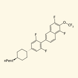 CCCCC[C@H]1CC[C@H](c2cc(F)c(-c3ccc4c(F)c(OC(F)(F)F)c(F)cc4c3)c(F)c2)CC1